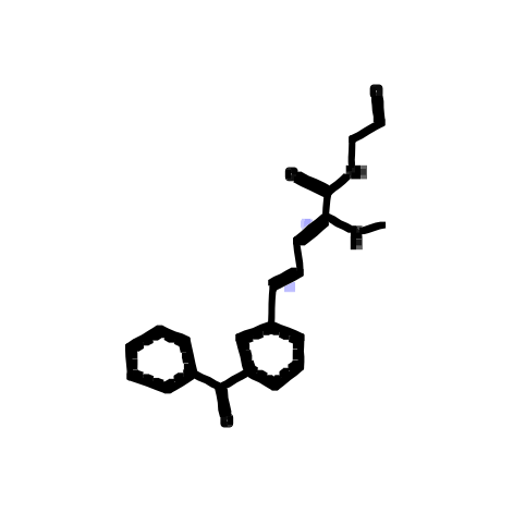 CN/C(=C\C=C\c1cccc(C(=O)c2ccccc2)c1)C(=O)NCC=O